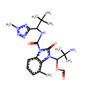 Cc1cccc2c1n(C(OC=O)C(C)(C)N)c(=O)n2C(=O)NC(c1nnn(C)n1)C(C)(C)C